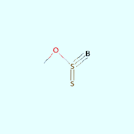 B#S(=S)OC